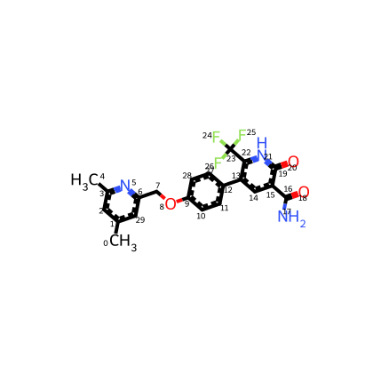 Cc1cc(C)nc(COc2ccc(-c3cc(C(N)=O)c(=O)[nH]c3C(F)(F)F)cc2)c1